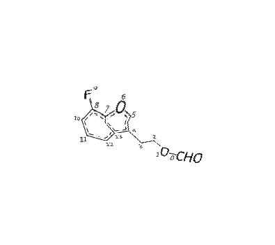 O=COCCc1coc2c(F)cccc12